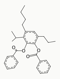 CCCCc1cc(CCC)c(OC(=O)c2ccccc2)c(OC(=O)c2ccccc2)c1C(C)C